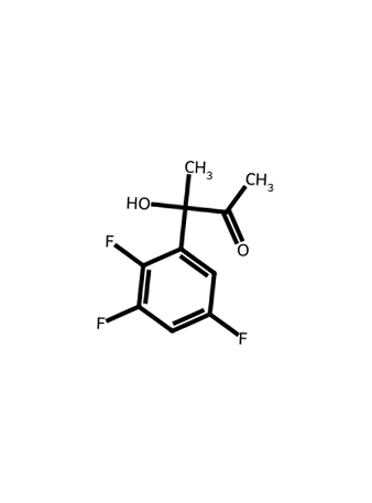 CC(=O)C(C)(O)c1cc(F)cc(F)c1F